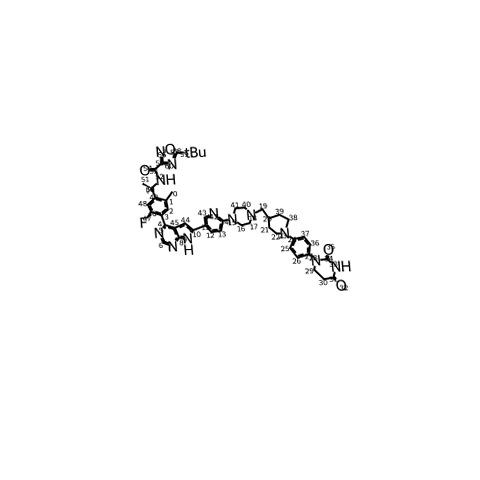 Cc1cc(-c2ncnc3[nH]c(-c4ccc(N5CCN(CC6CCN(c7ccc(N8CCC(=O)NC8=O)cc7)CC6)CC5)nc4)cc23)c(F)cc1[C@@H](C)NC(=O)c1noc(C(C)(C)C)n1